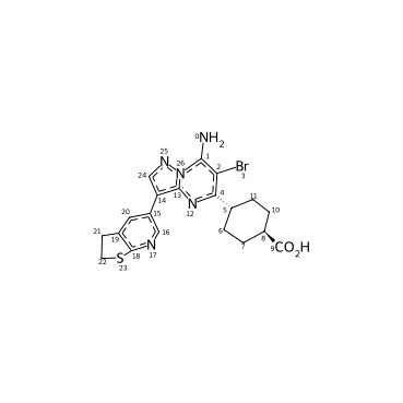 Nc1c(Br)c([C@H]2CC[C@H](C(=O)O)CC2)nc2c(-c3cnc4c(c3)CCS4)cnn12